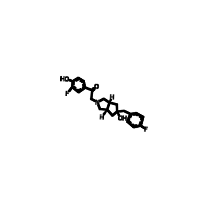 O=C(CN1C[C@@H]2C[C@](O)(Cc3ccc(F)cc3)C[C@@H]2C1)c1ccc(O)c(F)c1